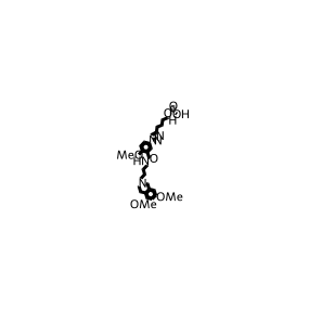 COc1cc2c(cc1OC)CN(CCCCNC(=O)c1cc(-n3cc(CCCCO[PH](=O)O)nn3)ccc1OC)CC2